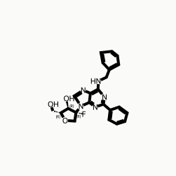 OC[C@H]1OC[C@](F)(n2cnc3c(NCc4ccccc4)nc(-c4ccccc4)nc32)[C@@H]1O